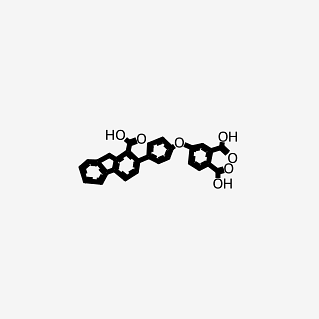 O=C(O)c1ccc(Oc2ccc(-c3ccc4c(c3C(=O)O)Cc3ccccc3-4)cc2)cc1C(=O)O